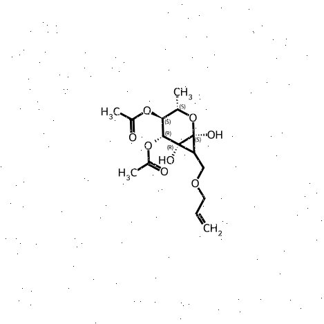 C=CCOCC1[C@]2(O)O[C@@H](C)[C@H](OC(C)=O)[C@@H](OC(C)=O)[C@]12O